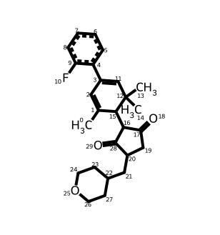 CC1=CC(c2ccccc2F)=CC(C)(C)C1C1C(=O)CC(CC2CCOCC2)C1=O